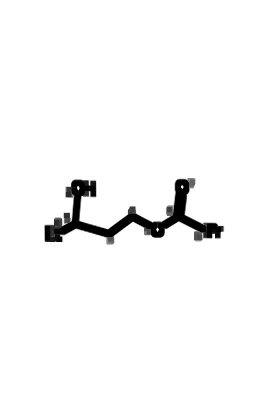 CCC(O)CCOC(=O)C(C)C